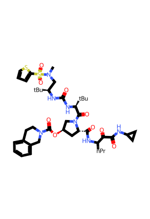 CCCC(NC(=O)[C@@H]1C[C@@H](OC(=O)N2CCc3ccccc3C2)CN1C(=O)[C@@H](NC(=O)N[C@H](CN(C)S(=O)(=O)c1cccs1)C(C)(C)C)C(C)(C)C)C(=O)C(=O)NC1CC1